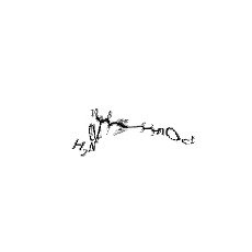 CCCCCCCCCCCCCCCCC(C)CC(N)=O